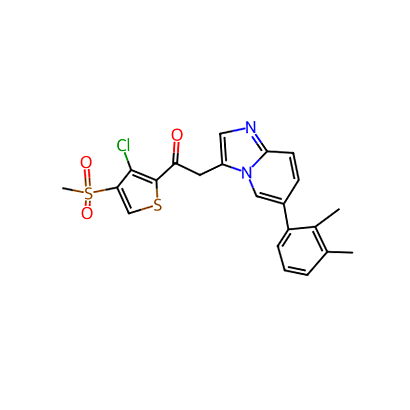 Cc1cccc(-c2ccc3ncc(CC(=O)c4scc(S(C)(=O)=O)c4Cl)n3c2)c1C